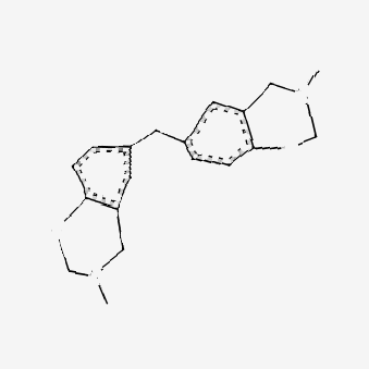 CN1COc2ccc(Cc3ccc4c(c3)CN(C)CO4)cc2C1